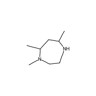 CC1CC(C)N(C)CCN1